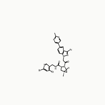 CCc1cc(Br)ncc1CNC(=O)[C@@H]1C[C@@]2(C)C[C@H]2N1C(=O)Cn1nc(C(C)=O)c2cc(-c3cnc(C)nc3)ccc21